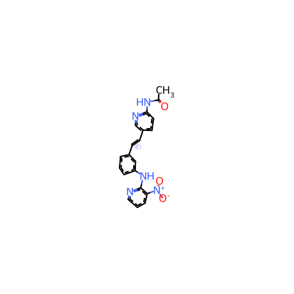 CC(=O)Nc1ccc(/C=C/c2cccc(Nc3ncccc3[N+](=O)[O-])c2)cn1